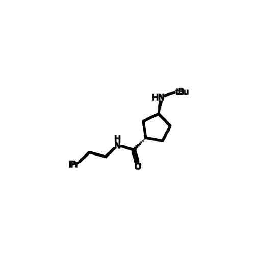 CC(C)CCNC(=O)[C@H]1CC[C@H](NC(C)(C)C)C1